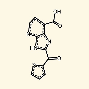 O=C(c1nc2c(C(=O)O)ccnc2[nH]1)c1cccs1